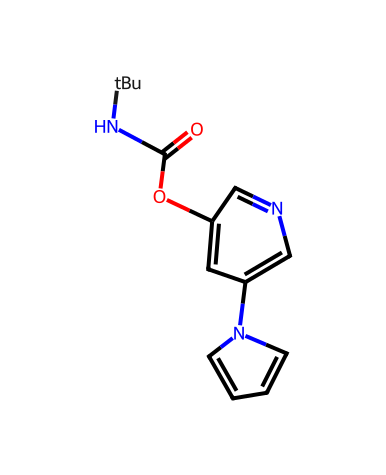 CC(C)(C)NC(=O)Oc1cncc(-n2cccc2)c1